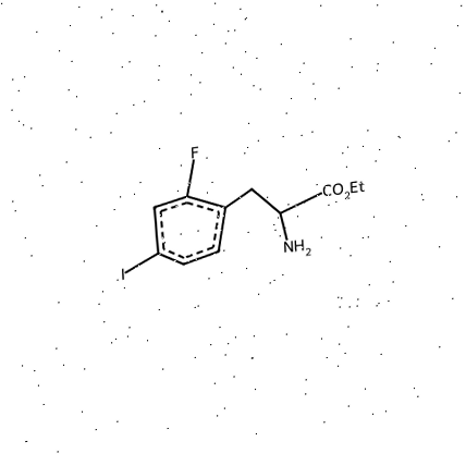 CCOC(=O)C(N)Cc1ccc(I)cc1F